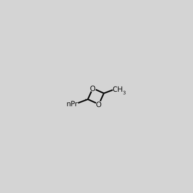 CCC[C]1OC(C)O1